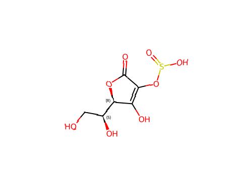 O=C1O[C@H]([C@@H](O)CO)C(O)=C1OS(=O)O